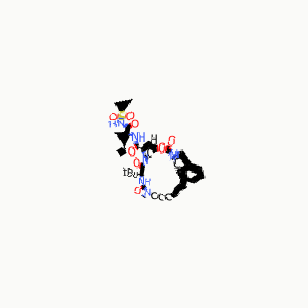 C=C[C@@H]1C[C@]1(NC(=O)[C@@H]1C[C@@H]2CN1C(=O)[C@H](C(C)(C)C)NC(=O)N(C)CCCC/C=C/c1cccc3c1CN(C3)C(=O)O2)C(=O)NS(=O)(=O)C1CC1